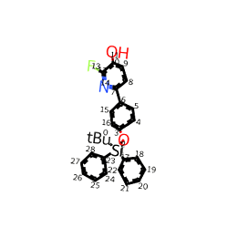 CC(C)(C)[Si](Oc1ccc(-c2ccc(O)c(F)n2)cc1)(c1ccccc1)c1ccccc1